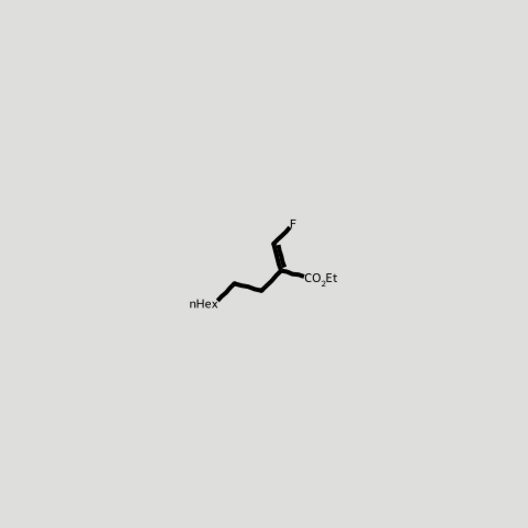 CCCCCCCCC(=CF)C(=O)OCC